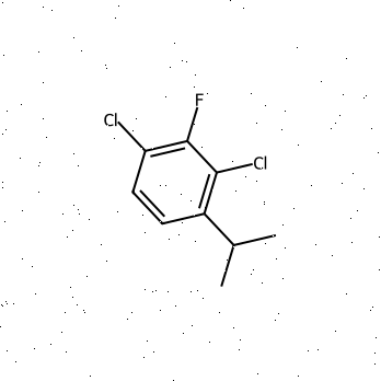 CC(C)c1ccc(Cl)c(F)c1Cl